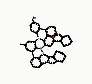 Cc1cc2c3c(c1)N(c1ccc(C(C)(C)C)cc1-c1ccccc1)c1cc4sc5ccccc5c4cc1B3n1c3c-2cccc3c2sc3ccccc3c21